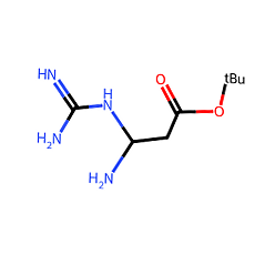 CC(C)(C)OC(=O)CC(N)NC(=N)N